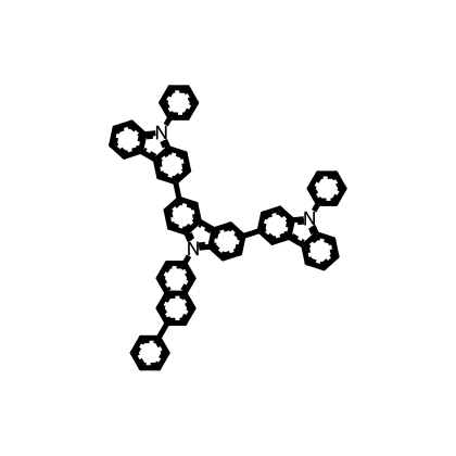 c1ccc(-c2ccc3cc(-n4c5ccc(-c6ccc7c(c6)c6ccccc6n7-c6ccccc6)cc5c5cc(-c6ccc7c(c6)c6ccccc6n7-c6ccccc6)ccc54)ccc3c2)cc1